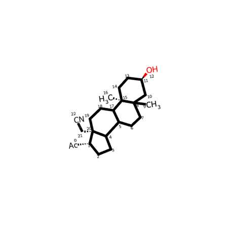 CC(=O)[C@H]1CCC2C3CCC4(C)C[C@H](O)CC[C@]4(C)C3CC[C@@]21CC#N